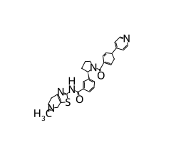 CN1CCc2nc(NC(=O)c3cccc([C@H]4CCCN4C(=O)C4=CCC(c5ccncc5)C=C4)c3)sc2C1